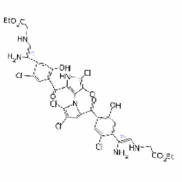 CCOC(=O)CN/C=C(\N)c1cc(O)c(C(=O)c2[nH]c(Cl)c(Cl)c2-n2c(C(=O)c3cc(Cl)c(/C(N)=C/NCC(=O)OCC)cc3O)cc(Cl)c2Cl)cc1Cl